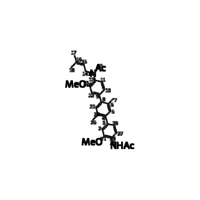 COc1cc(-c2cc(C)c(-c3ccc(N(CC=C(C)C)C(C)=O)c(OC)c3)cc2C)ccc1NC(C)=O